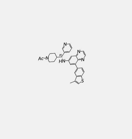 CC(=O)N1CCC([C@@H](Nc2cc(-c3ccc4scc(C)c4c3)c3nccnc3c2)c2cccnc2)CC1